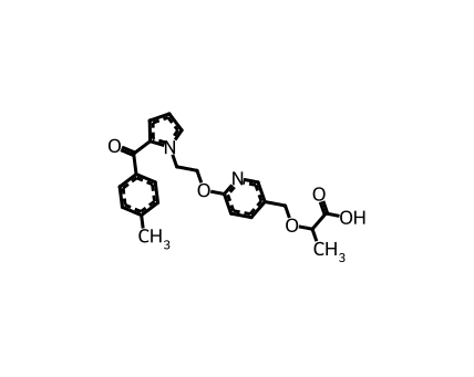 Cc1ccc(C(=O)c2cccn2CCOc2ccc(COC(C)C(=O)O)cn2)cc1